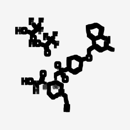 C#CCN1CC[C@H](C(=O)NO)[C@H](CS(=O)(=O)c2ccc(OCc3cc(C)nc4ccccc34)cc2)C1.O=C(O)C(F)(F)F.O=C(O)C(F)(F)F